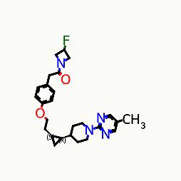 Cc1cnc(N2CCC([C@H]3C[C@H]3CCOc3ccc(CC(=O)N4CC(F)C4)cc3)CC2)nc1